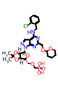 CC1(C)O[C@@H]2[C@H](O1)[C@@H](COCP(=O)(O)O)O[C@H]2n1ncc2c(NCc3ccccc3Cl)nc(COC3CCCCO3)nc21